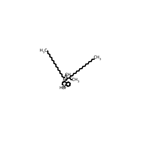 Br.CCCCCCCCCCCCCCCCCc1ncc(C(CC)CCCCCCCCCCCCCCCCC)n1C.c1ccc2ncccc2c1